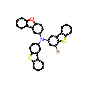 Brc1cc(N(c2ccc3oc4ccccc4c3c2)c2ccc3sc4ccccc4c3c2)cc2c1sc1ccccc12